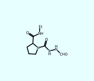 CCNC(=O)C1CCCN1C(=O)BNC=O